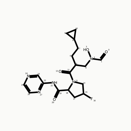 O=CN(O)CC(CCC1CC1)C(=O)N1CC(F)CC1C(=O)Nc1cnccn1